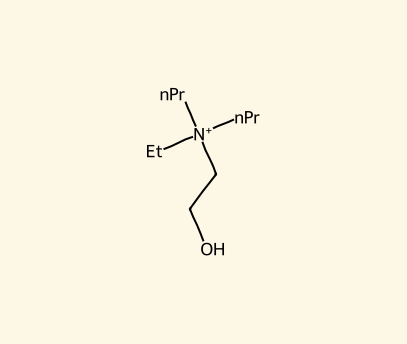 CCC[N+](CC)(CCC)CCO